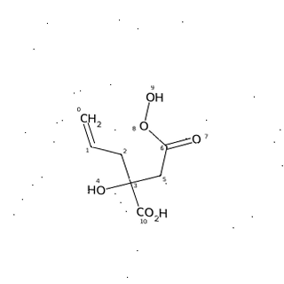 C=CCC(O)(CC(=O)OO)C(=O)O